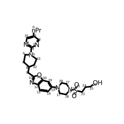 CCCc1cnc(N2CCC(Cc3nc4ccc(N5CCN(S(=O)(=O)CCCO)CC5)cc4o3)CC2)nc1